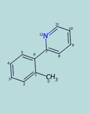 Cc1c[c]ccc1-c1ccccn1